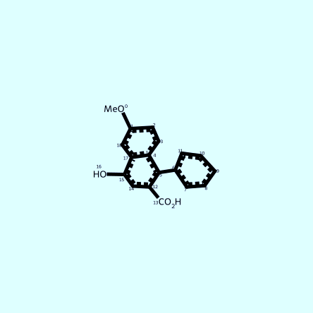 COc1ccc2c(-c3ccccc3)c(C(=O)O)cc(O)c2c1